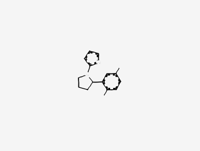 Fc1ccc(F)c(C2CCCN2c2ccc[nH]2)c1